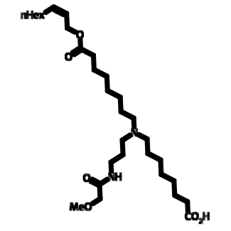 CCCCCC/C=C\COC(=O)CCCCCCCN(CCCCCCCC(=O)O)CCCNC(=O)COC